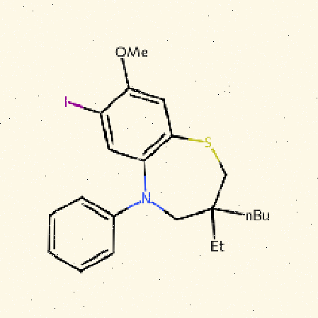 CCCCC1(CC)CSc2cc(OC)c(I)cc2N(c2ccccc2)C1